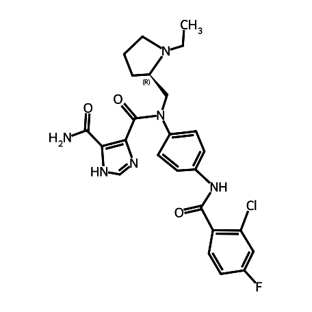 CCN1CCC[C@@H]1CN(C(=O)c1nc[nH]c1C(N)=O)c1ccc(NC(=O)c2ccc(F)cc2Cl)cc1